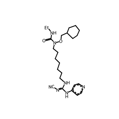 CCNC(=O)N(CCCCCCCN/C(=N\C#N)Nc1ccncc1)OCC1CCCCC1